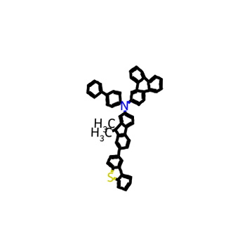 CC1(C)c2cc(-c3ccc4sc5ccccc5c4c3)ccc2-c2ccc(N(c3ccc(-c4ccccc4)cc3)c3ccc4c5ccccc5c5ccccc5c4c3)cc21